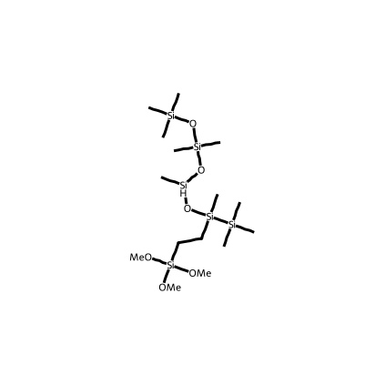 CO[Si](CC[Si](C)(O[SiH](C)O[Si](C)(C)O[Si](C)(C)C)[Si](C)(C)C)(OC)OC